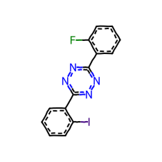 Fc1ccccc1-c1nnc(-c2ccccc2I)nn1